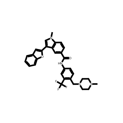 CN1CCN(Cc2ccc(NC(=O)c3ccc4c(c3)c(-c3cc5ccccc5o3)cn4C)cc2C(F)(F)F)CC1